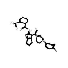 O=C(O)C1CCCCC1C(=O)Nc1sc2c(c1C(=O)N1CCN(c3ccc(Cl)cc3)CC1)CCC2